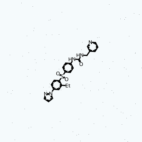 CCc1cc(-n2cccn2)ccc1S(=O)(=O)c1ccc(NC(=O)NCc2cccnc2)cc1